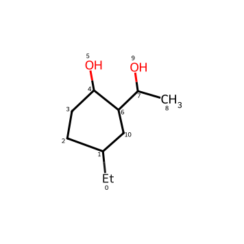 CCC1CCC(O)C(C(C)O)C1